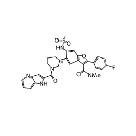 CNC(=O)c1c(-c2ccc(F)cc2)oc2cc(NS(C)(=O)=O)c([C@@H]3CCCN(C(=O)c4cc5ncccc5[nH]4)C3)cc12